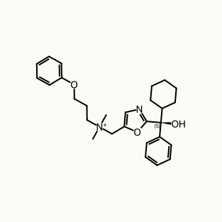 C[N+](C)(CCCOc1ccccc1)Cc1cnc([C@@](O)(c2ccccc2)C2CCCCC2)o1